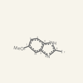 COc1ccc2[nH]c(I)nc2c1